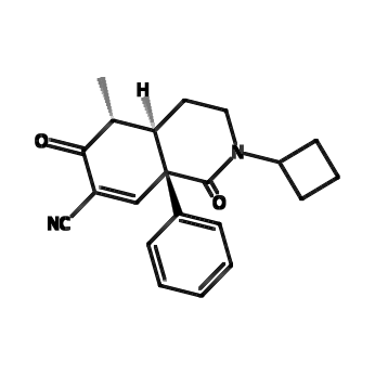 C[C@H]1C(=O)C(C#N)=C[C@@]2(c3ccccc3)C(=O)N(C3CCC3)CC[C@H]12